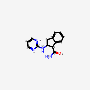 NC(=O)C1c2cc[c]cc2CC1Nc1ncccn1